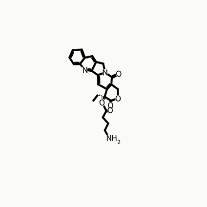 CC[C@@]1(OC(=O)CCCN)C(=O)OCc2c1cc1n(c2=O)Cc2cc3ccccc3nc2-1